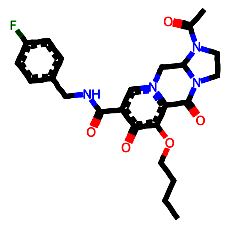 CCCCOc1c2n(cc(C(=O)NCc3ccc(F)cc3)c1=O)CC1N(C(C)=O)CCN1C2=O